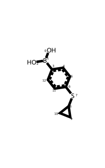 OB(O)c1ccc(SC2CC2)cc1